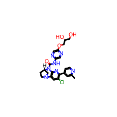 Cc1cc(-c2nc3c(cc2Cl)N2CC[C@@H](C2)N3C(=O)Nc2cnc(OC[C@H](O)CO)cn2)ccn1